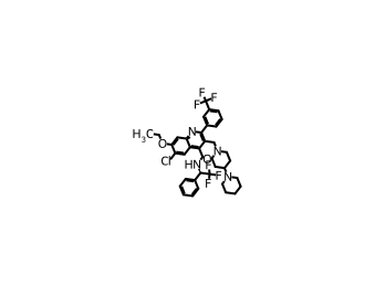 CCOc1cc2nc(-c3cccc(C(F)(F)F)c3)c(CN3CCC(N4CCCCC4)CC3)c(C(=O)N[C@H](c3ccccc3)C(F)(F)F)c2cc1Cl